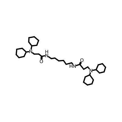 O=C(CCN(C1CCCCC1)C1CCCCC1)NCCCCCCNC(=O)CCN(C1CCCCC1)C1CCCCC1